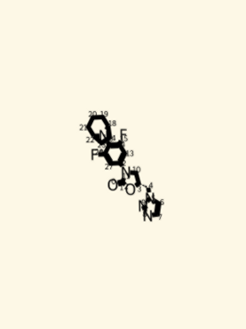 O=C1O[C@@H](Cn2ccnn2)CN1c1cc(F)c(N2C3CCCC2CC3)c(F)c1